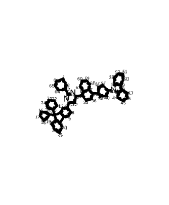 c1ccc(-c2nc(-c3ccc4c(c3)C(c3ccccc3)(c3ccccc3)c3ccccc3-4)cc(-c3ccc(-c4ccc(-n5c6ccccc6c6ccccc65)cc4)c4ccccc34)n2)cc1